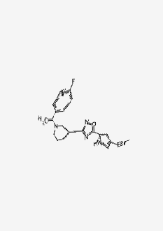 C=C(c1ccc(F)nc1)N1CCCC(c2noc(-c3cc(Br)c[nH]3)n2)C1